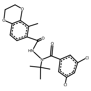 Cc1c(C(=O)NN(C(=O)c2cc(Cl)cc(Cl)c2)C(C)(C)C)ccc2c1OCCO2